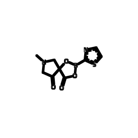 CN1CC(=O)C2(C1)OB(c1nccs1)OC2=O